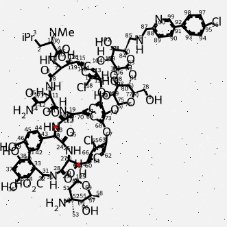 CN[C@H](CC(C)C)C(=O)NC1C(=O)N[C@@H](CC(N)=O)C(=O)N[C@H]2C(=O)N[C@H]3C(=O)N[C@H](C(=O)NC(C(=O)O)c4cc(O)cc(O)c4-c4cc3ccc4O)[C@H](O[C@H]3C[C@](C)(N)[C@@H](O)[C@H](C)O3)c3ccc(c(Cl)c3)Oc3cc2cc(c3O[C@@H]2O[C@H](CO)[C@@H](O[C@@H]3O[C@H](CNCc4ccc(-c5ccc(Cl)cc5)cn4)[C@H](O)[C@H](O)[C@H]3O)[C@H](O)[C@H]2O)Oc2ccc(cc2Cl)[C@H]1O